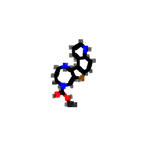 CC(C)(C)OC(=O)N1C=c2sc3ccc4ncccc4c3c2=NC=CC1